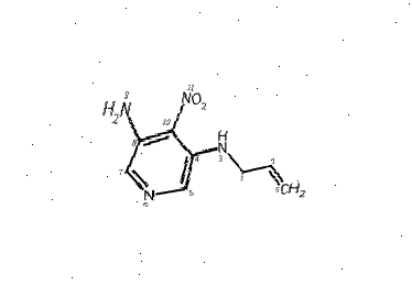 C=CCNc1cncc(N)c1[N+](=O)[O-]